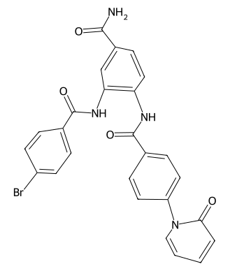 NC(=O)c1ccc(NC(=O)c2ccc(-n3ccccc3=O)cc2)c(NC(=O)c2ccc(Br)cc2)c1